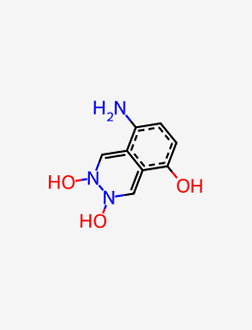 Nc1ccc(O)c2c1=CN(O)N(O)C=2